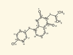 C=C(C)Cn1c(=O)nc2n(Cc3ccc(Cl)nc3)cccc-2c1=O